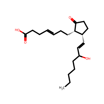 CCCCCC(O)/C=C/[C@H]1CCC(=O)[C@H]1CCC=CCCC(=O)O